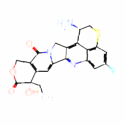 CC[C@@]1(O)C(=O)OCc2c1cc1n(c2=O)Cc2c-1nc1cc(F)cc3c1c2[C@@H](N)CS3